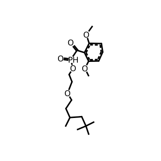 COc1cccc(OC)c1C(=O)[PH](=O)OCCOCCC(C)CC(C)(C)C